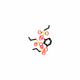 CCCS(=O)(=O)Oc1cccc(OS(=O)(=O)CCC)c1OS(=O)(=O)CCC